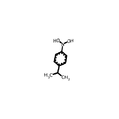 CC(C)c1ccc(N(O)O)cc1